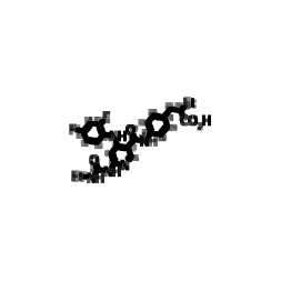 CCNC(=O)Nc1cc(Nc2ccc(F)cc2F)c(C(=O)Nc2ccc(CC(CC)C(=O)O)cc2)cn1